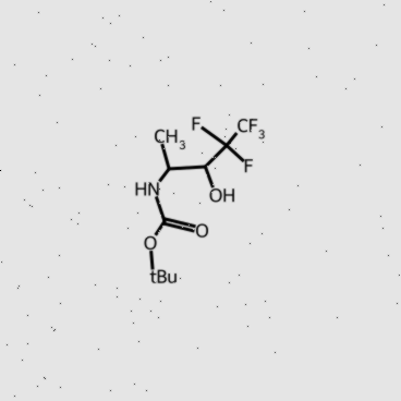 CC(NC(=O)OC(C)(C)C)C(O)C(F)(F)C(F)(F)F